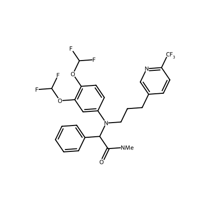 CNC(=O)C(c1ccccc1)N(CCCc1ccc(C(F)(F)F)nc1)c1ccc(OC(F)F)c(OC(F)F)c1